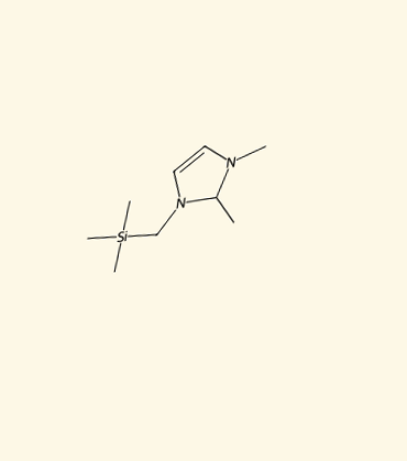 CC1N(C)C=CN1C[Si](C)(C)C